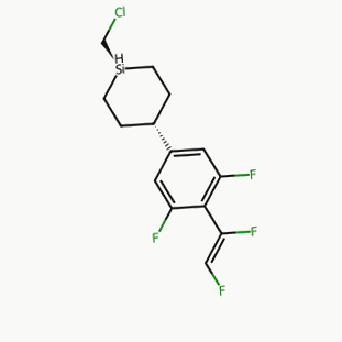 FC=C(F)c1c(F)cc([C@H]2CC[Si@H](CCl)CC2)cc1F